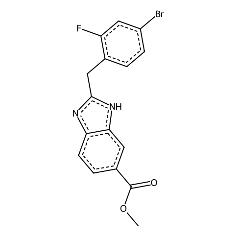 COC(=O)c1ccc2nc(Cc3ccc(Br)cc3F)[nH]c2c1